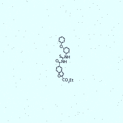 CCOC(=O)c1cc2cc(C(=O)NC(=S)Nc3cccc(Oc4ccccc4)c3)ccc2o1